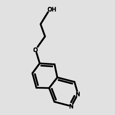 OCCOc1ccc2cnncc2c1